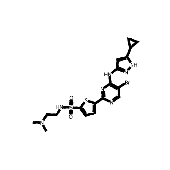 CN(C)CCNS(=O)(=O)c1ccc(-c2ncc(Br)c(Nc3cc(C4CC4)[nH]n3)n2)s1